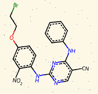 N#Cc1cnc(Nc2ccc(OCCBr)cc2[N+](=O)[O-])nc1Nc1ccccc1